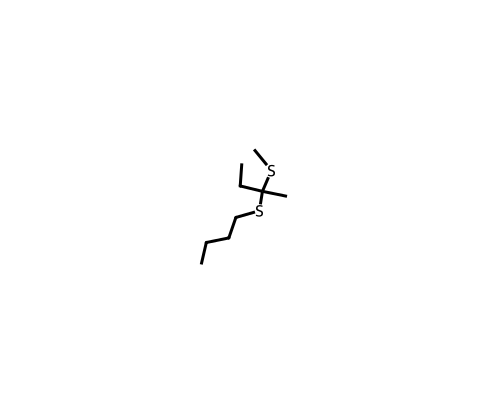 CCCCSC(C)(CC)SC